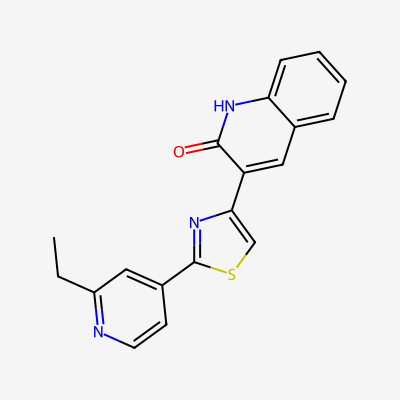 CCc1cc(-c2nc(-c3cc4ccccc4[nH]c3=O)cs2)ccn1